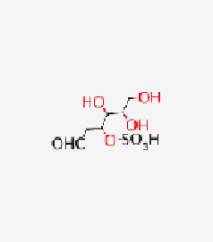 O=CC[C@H](OS(=O)(=O)O)[C@@H](O)[C@H](O)CO